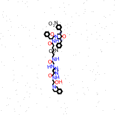 O=C(CNc1cc(C(=O)NCC(O)CN2CCc3ccccc3C2)ncn1)NCCCCCCC(=O)NC(Cc1ccccc1)C(=O)N1C/C(=C\c2ccc([N+](=O)[O-])cc2)C(=O)/C(=C/c2ccc([N+](=O)[O-])cc2)C1